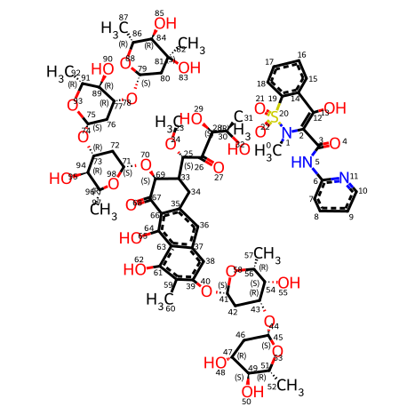 CN1C(C(=O)Nc2ccccn2)=C(O)c2ccccc2S1(=O)=O.CO[C@H](C(=O)[C@@H](O)[C@@H](C)O)C1Cc2cc3cc(O[C@H]4C[C@@H](O[C@H]5C[C@@H](O)[C@H](O)[C@@H](C)O5)[C@@H](O)[C@@H](C)O4)c(C)c(O)c3c(O)c2C(=O)[C@H]1O[C@H]1C[C@@H](O[C@H]2C[C@@H](O[C@H]3C[C@](C)(O)[C@H](O)[C@@H](C)O3)[C@H](O)[C@@H](C)O2)[C@H](O)[C@@H](C)O1